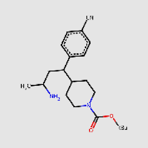 CC(N)[CH]C(c1ccc(C#N)cc1)C1CCN(C(=O)OC(C)(C)C)CC1